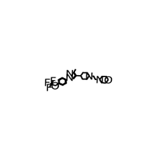 Cc1nn(-c2ccc(OC(F)(F)F)cc2)cc1C1CCN(CCN2CCOCC2)CC1